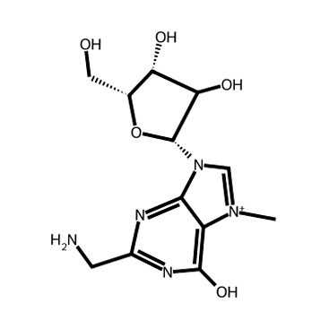 C[n+]1cn([C@@H]2O[C@H](CO)[C@H](O)C2O)c2nc(CN)nc(O)c21